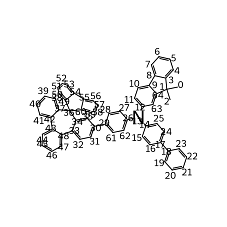 CC1(C)c2ccccc2-c2ccc(N(c3ccc(-c4ccccc4)cc3)c3ccc(-c4ccc5c(c4)C4(c6ccccc6-c6ccccc6-5)c5ccccc5-c5ccccc54)cc3)cc21